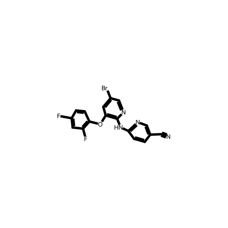 N#Cc1ccc(Nc2ncc(Br)cc2Oc2ccc(F)cc2F)nc1